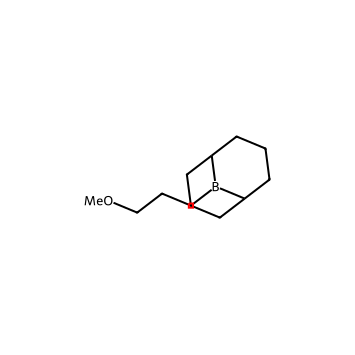 COCCCB1C2CCCC1CCC2